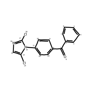 O=C(c1ccccc1)c1ccc(-n2c(Cl)cnc2Cl)cc1